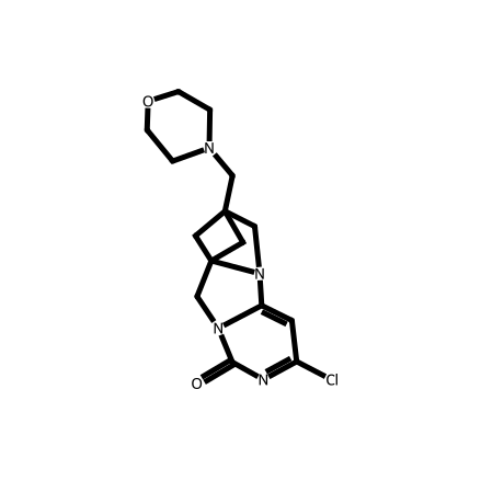 O=c1nc(Cl)cc2n1CC13CC(CN4CCOCC4)(CN21)C3